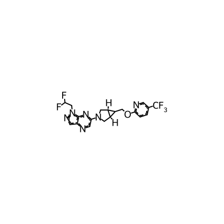 FC(F)Cn1ncc2ncc(N3C[C@@H]4C(COc5ccc(C(F)(F)F)cn5)[C@@H]4C3)nc21